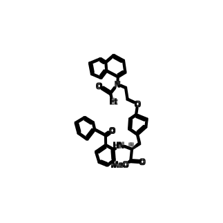 CCC(=O)N(CCOc1ccc(C[C@H](Nc2ccccc2C(=O)c2ccccc2)C(=O)OC)cc1)c1cccc2ccccc12